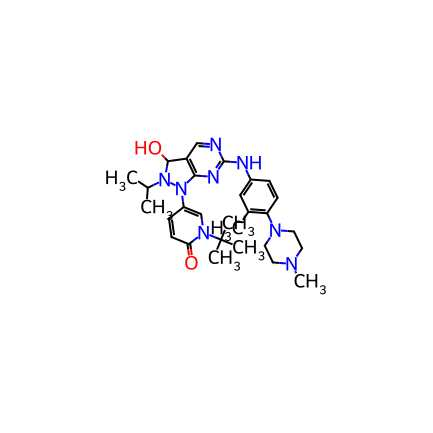 Cc1cc(Nc2ncc3c(n2)N(c2ccc(=O)n(C(C)(C)C)c2)N(C(C)C)C3O)ccc1N1CCN(C)CC1